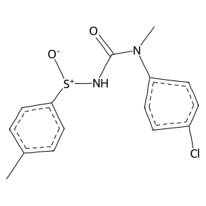 Cc1ccc([S+]([O-])NC(=O)N(C)c2ccc(Cl)cc2)cc1